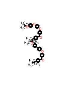 CCC(C)(C)Oc1ccc(Oc2ccc(Oc3ccc(C(=O)c4ccc(C(C)C(C)(CC)Oc5ccc(-c6ccc(Oc7ccc(C(=O)c8ccc(C(C)(C)CC)cc8)cc7)cc6)cc5)cc4)cc3)cc2)cc1